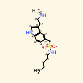 CCCCCNS(=O)(=O)Cc1ccc2[nH]cc(CCNC)c2c1